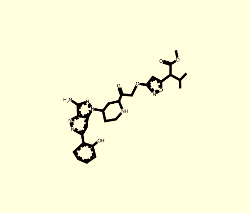 COC(=O)C(c1cc(OCC(=O)C2CC(n3nc(N)c4nnc(-c5ccccc5O)cc43)CCN2)no1)C(C)C